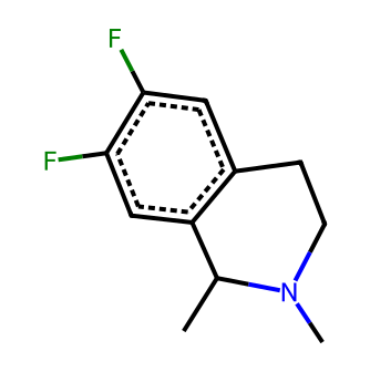 CC1c2cc(F)c(F)cc2CCN1C